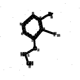 OBOc1cccc(Br)c1F